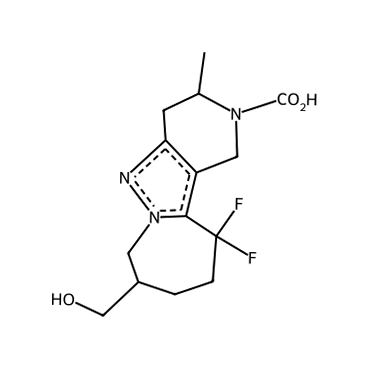 CC1Cc2nn3c(c2CN1C(=O)O)C(F)(F)CCC(CO)C3